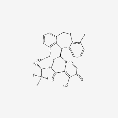 CCc1cccc2c1[C@H](C1CN([C@H](C)C(F)(F)F)C(=O)c3c(O)c(=O)ccn31)c1cccc(F)c1SC2